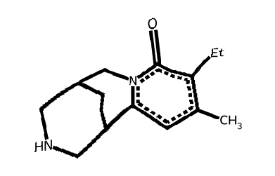 CCc1c(C)cc2n(c1=O)CC1CNCC2C1